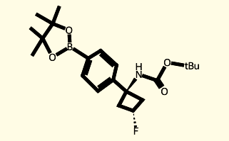 CC(C)(C)OC(=O)N[C@]1(c2ccc(B3OC(C)(C)C(C)(C)O3)cc2)C[C@@H](F)C1